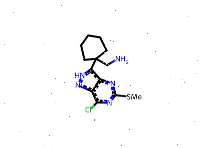 CSc1nc(Cl)c2n[nH]c(C3(CN)CCCCC3)c2n1